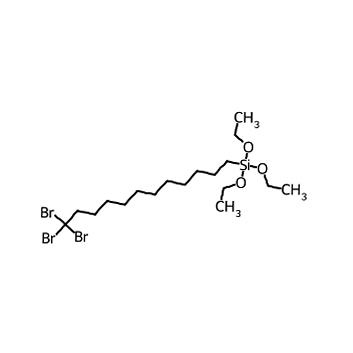 CCO[Si](CCCCCCCCCCCC(Br)(Br)Br)(OCC)OCC